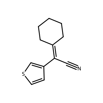 N#CC(=C1CCCCC1)c1ccsc1